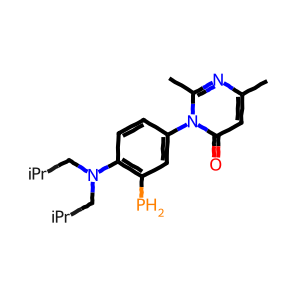 Cc1cc(=O)n(-c2ccc(N(CC(C)C)CC(C)C)c(P)c2)c(C)n1